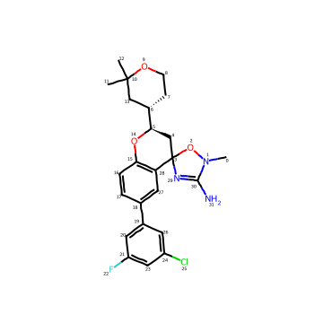 CN1OC2(C[C@H]([C@H]3CCOC(C)(C)C3)Oc3ccc(-c4cc(F)cc(Cl)c4)cc32)N=C1N